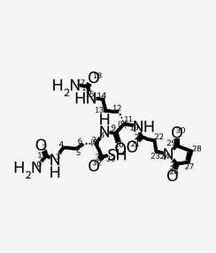 NC(=O)NCCC[C@H](NC(=O)[C@H](CCCNC(N)=O)NC(=O)CCN1C(=O)C=CC1=O)C(=O)S